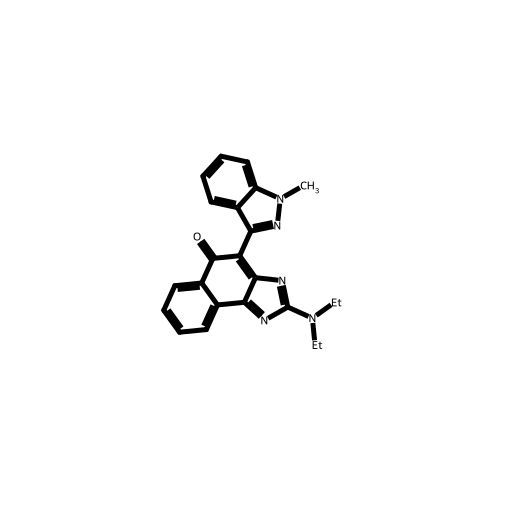 CCN(CC)C1=NC2=C(c3nn(C)c4ccccc34)C(=O)c3ccccc3C2=N1